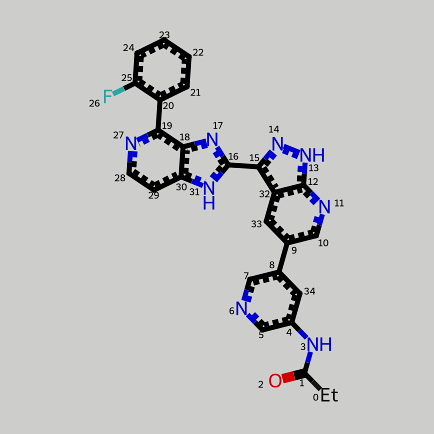 CCC(=O)Nc1cncc(-c2cnc3[nH]nc(-c4nc5c(-c6ccccc6F)nccc5[nH]4)c3c2)c1